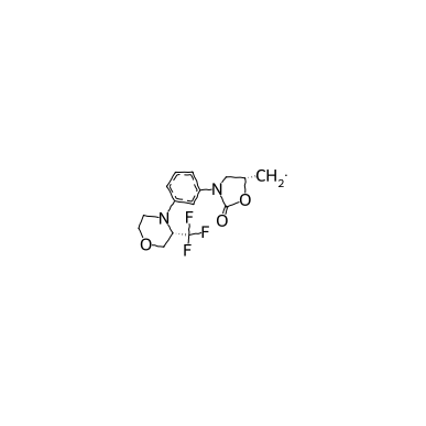 [CH2][C@H]1CN(c2cccc(N3CCOC[C@H]3C(F)(F)F)c2)C(=O)O1